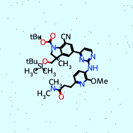 COc1nc(CCC(=O)N(C)C)ccc1Nc1nccc(-c2cc(C#N)c3c(c2)[C@@](C)(CO[Si](C)(C)C(C)(C)C)CN3C(=O)OC(C)(C)C)n1